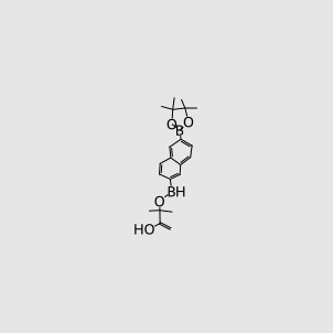 C=C(O)C(C)(C)OBc1ccc2cc(B3OC(C)(C)C(C)(C)O3)ccc2c1